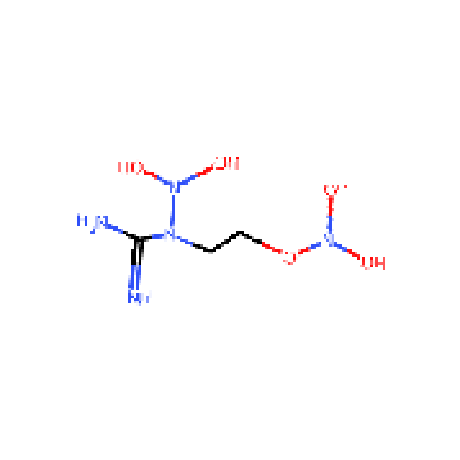 N=C(N)N(CCON(O)O)N(O)O